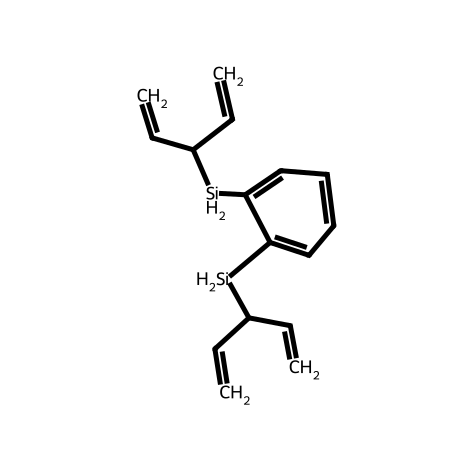 C=CC(C=C)[SiH2]c1ccccc1[SiH2]C(C=C)C=C